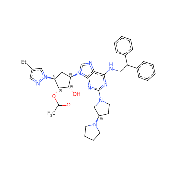 CCc1cnn([C@H]2C[C@@H](n3cnc4c(NCC(c5ccccc5)c5ccccc5)nc(N5CC[C@@H](N6CCCC6)C5)nc43)[C@H](O)[C@@H]2OC(=O)C(F)(F)F)c1